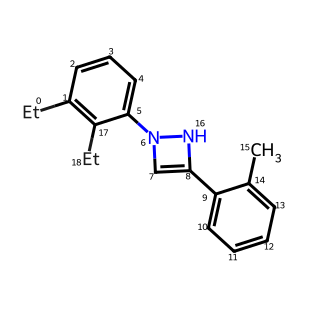 CCc1cccc(-n2cc(-c3ccccc3C)[nH]2)c1CC